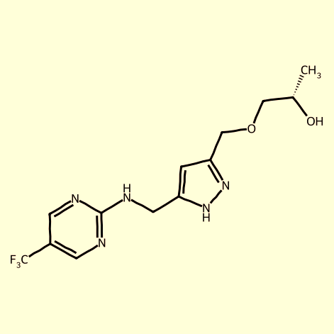 C[C@H](O)COCc1cc(CNc2ncc(C(F)(F)F)cn2)[nH]n1